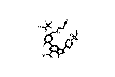 CCS(=O)(=O)N1CCC(c2c[nH]c3c(C(N)=O)cc(-c4cc(CNCCC#N)ccc4F)cc23)CC1.O=C(O)C(F)(F)F